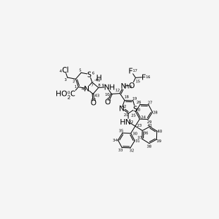 O=C(O)C1=C(CCl)CS[C@H]2C(NC(=O)C(=NOC(F)F)c3csc(NC(c4ccccc4)(c4ccccc4)c4ccccc4)n3)C(=O)N12